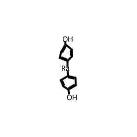 Oc1cc[c]([Ra][c]2ccc(O)cc2)cc1